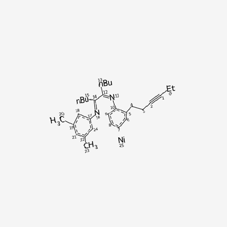 CCC#CCCc1ccccc1N=C(CCCC)C(CCCC)=Nc1cc(C)cc(C)c1.[Ni]